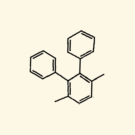 Cc1[c][c]c(C)c(-c2ccccc2)c1-c1ccccc1